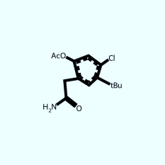 CC(=O)Oc1cc(Cl)c(C(C)(C)C)cc1CC(N)=O